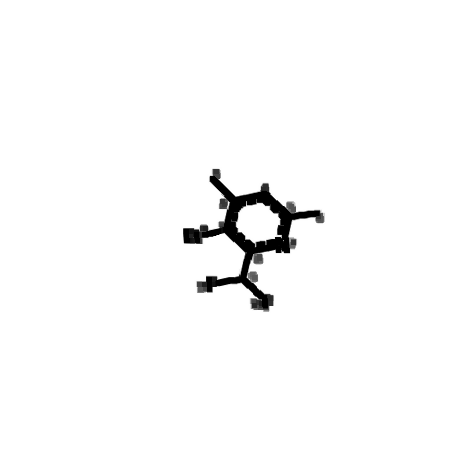 CCc1c(C)cc(C)nc1C(F)F